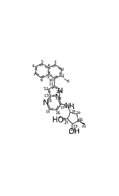 Cc1ccc2ccccc2c1-c1cc2nccc(NC3C[C@@H](C)C(O)C3O)n2n1